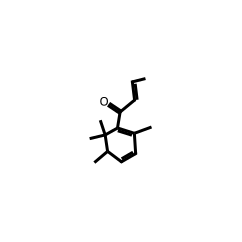 C/C=C/C(=O)C1=C(C)C=CC(C)C1(C)C